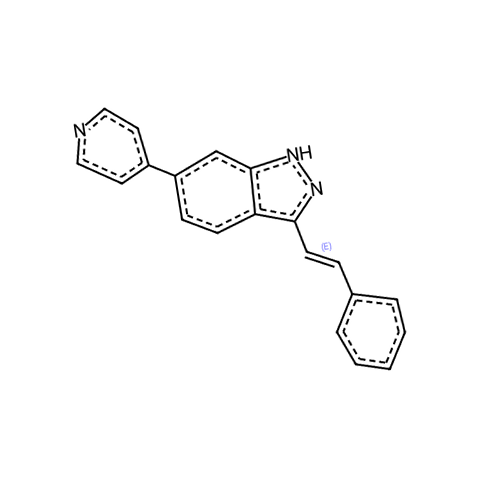 C(=C\c1n[nH]c2cc(-c3ccncc3)ccc12)/c1ccccc1